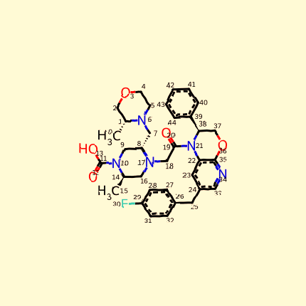 C[C@@H]1COCCN1C[C@H]1CN(C(=O)O)[C@H](C)CN1CC(=O)N1c2cc(Cc3ccc(F)cc3)cnc2OC[C@@H]1c1ccccc1